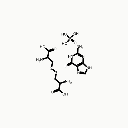 NC(CSSCC(N)C(=O)O)C(=O)O.Nc1nc2[nH]cnc2c(=O)[nH]1.O=P(O)(O)O